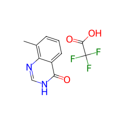 Cc1cccc2c(=O)[nH]cnc12.O=C(O)C(F)(F)F